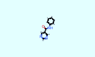 O=C(Nc1ccccc1)c1cncnc1